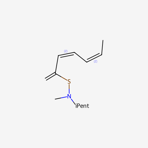 C=C(/C=C\C=C/C)SN(C)C(C)CCC